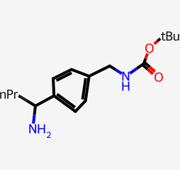 CCCC(N)c1ccc(CNC(=O)OC(C)(C)C)cc1